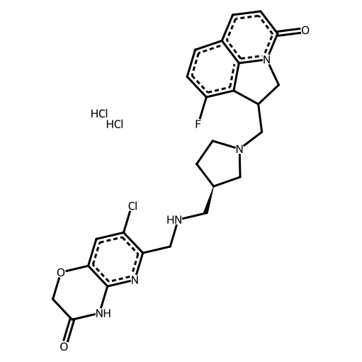 Cl.Cl.O=C1COc2cc(Cl)c(CNC[C@H]3CCN(CC4Cn5c(=O)ccc6ccc(F)c4c65)C3)nc2N1